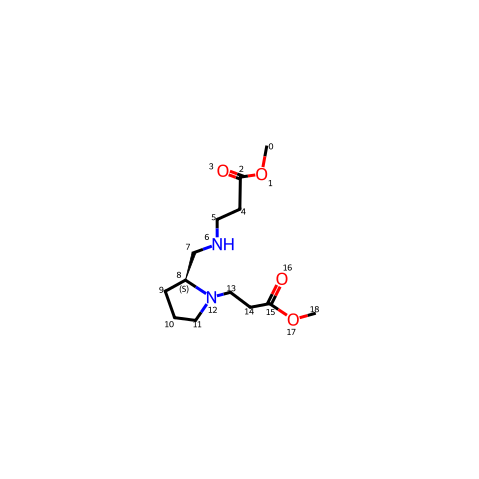 COC(=O)CCNC[C@@H]1CCCN1CCC(=O)OC